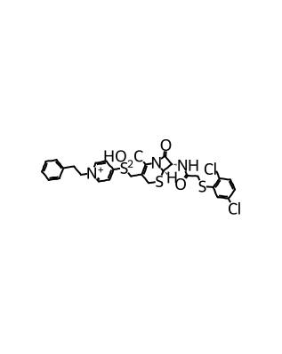 O=C(CSc1cc(Cl)ccc1Cl)N[C@H]1C(=O)N2C(C(=O)O)=C(CSc3cc[n+](CCc4ccccc4)cc3)CS[C@H]12